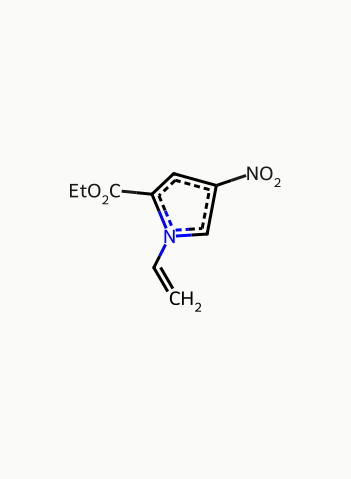 C=Cn1cc([N+](=O)[O-])cc1C(=O)OCC